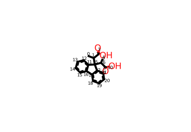 CC(C(=O)O)C1(C(C)C(=O)O)c2ccccc2-c2ccccc21